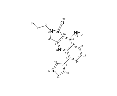 CCCN1Cc2nc3c(-c4ccsc4)cccc3c(N)c2C1=O